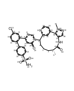 C[C@@H]1CCCC(n2cnc(-c3cc(Cl)ccc3-c3ccc(S(N)(=O)=O)cc3)cc2=O)c2cc(ccn2)-c2c(cnn2C)NC1=O